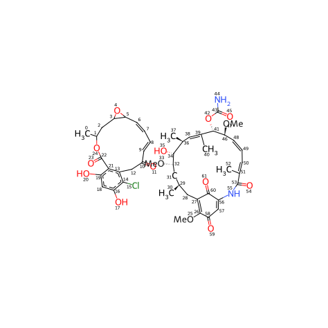 CC1CC2OC2/C=C\C=C\C(=O)Cc2c(Cl)c(O)cc(O)c2C(=O)O1.COC1=C2C[C@@H](C)C[C@H](OC)[C@H](O)[C@@H](C)/C=C(\C)[C@H](OC(N)=O)[C@@H](OC)/C=C\C=C(/C)C(=O)NC(=CC1=O)C2=O